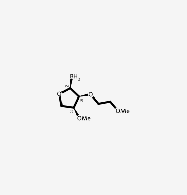 B[C@@H]1OC[C@H](OC)[C@@H]1OCCOC